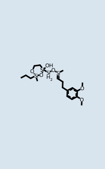 CCC[Si]1(C)OCC[Si](O)([SiH2]O[SiH](C)CCCc2ccc(OC)c(OC)c2)O1